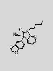 CCCCCN1C(=O)C(C#N)(c2ccc3c(c2)OCO3)c2cccnc21